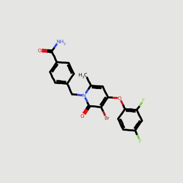 Cc1cc(Oc2ccc(F)cc2F)c(Br)c(=O)n1Cc1ccc(C(N)=O)cc1